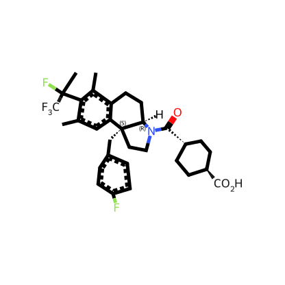 Cc1cc2c(c(C)c1C(C)(F)C(F)(F)F)CC[C@H]1N(C(=O)[C@H]3CC[C@H](C(=O)O)CC3)CC[C@@]21Cc1ccc(F)cc1